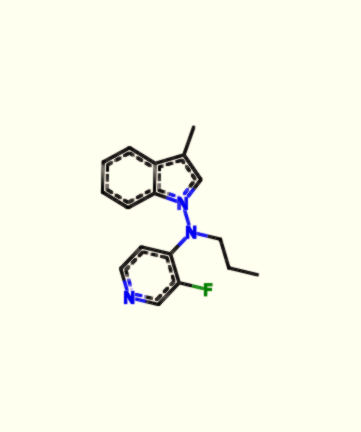 CCCN(c1ccncc1F)n1cc(C)c2ccccc21